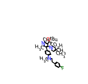 Cc1nc(C)c(C(OC(C)(C)C)C(=O)O)c(N2CCC(C)(C)CC2)c1-c1ccc(N(C)CCc2ccc(F)cc2)cc1